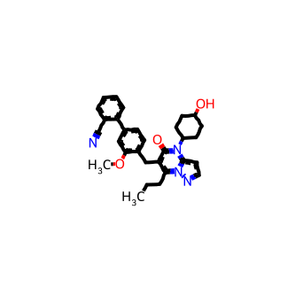 CCCc1c(Cc2ccc(-c3ccccc3C#N)cc2OC)c(=O)n(C2CCC(O)CC2)c2ccnn12